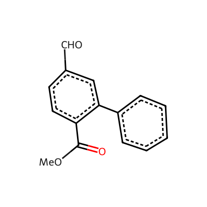 COC(=O)c1ccc(C=O)cc1-c1ccccc1